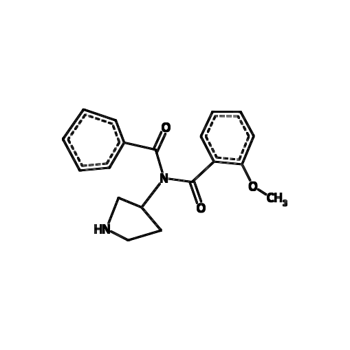 COc1ccccc1C(=O)N(C(=O)c1ccccc1)C1CCNC1